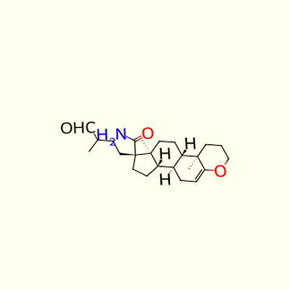 CC(C=O)CC[C@]1(C(N)=O)CC[C@H]2[C@@H]3CC=C4OCCC[C@]4(C)[C@H]3CC[C@@]21C